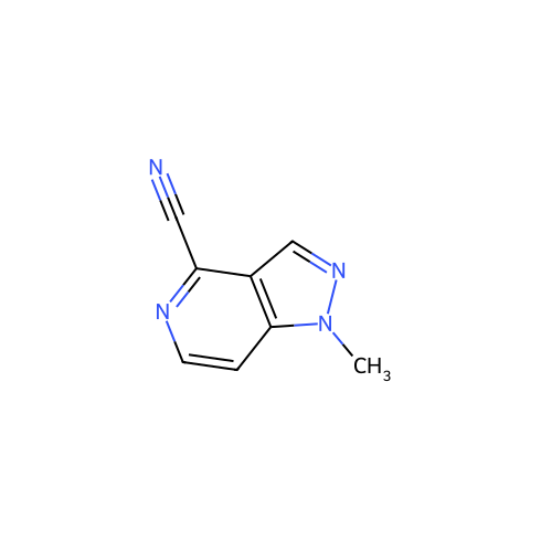 Cn1ncc2c(C#N)nccc21